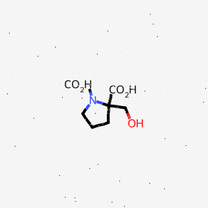 O=C(O)N1CCCC1(CO)C(=O)O